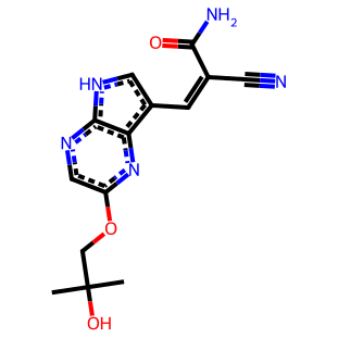 CC(C)(O)COc1cnc2[nH]cc(C=C(C#N)C(N)=O)c2n1